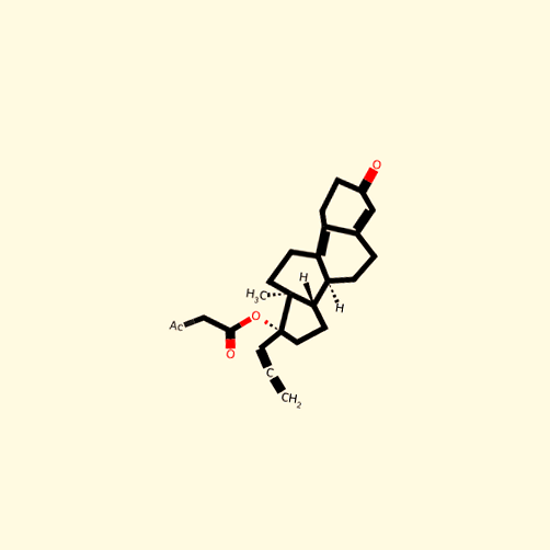 C=C=C[C@]1(OC(=O)CC(C)=O)CC[C@H]2[C@@H]3CCC4=CC(=O)CCC4=C3CC[C@@]21C